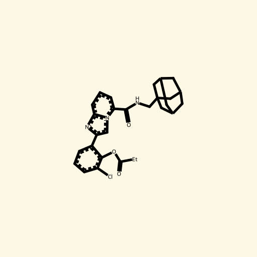 CCC(=O)Oc1c(Cl)cccc1-c1cn2c(C(=O)NCC34CC5CC(CC(C5)C3)C4)cccc2n1